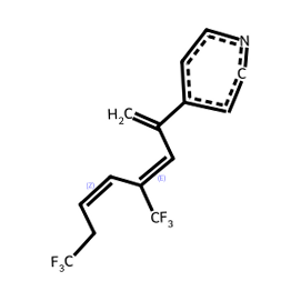 C=C(/C=C(\C=C/CC(F)(F)F)C(F)(F)F)c1ccncc1